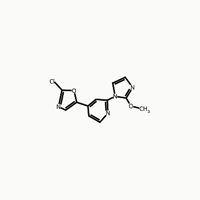 COc1nccn1-c1cc(-c2cnc(Cl)o2)ccn1